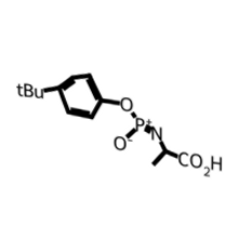 CC(/N=[P+](\[O-])Oc1ccc(C(C)(C)C)cc1)C(=O)O